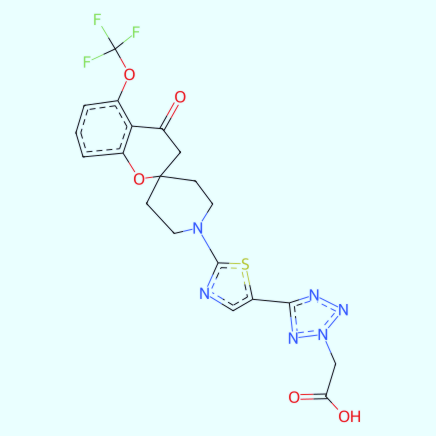 O=C(O)Cn1nnc(-c2cnc(N3CCC4(CC3)CC(=O)c3c(OC(F)(F)F)cccc3O4)s2)n1